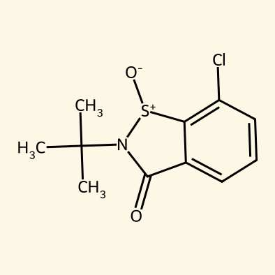 CC(C)(C)n1c(=O)c2cccc(Cl)c2[s+]1[O-]